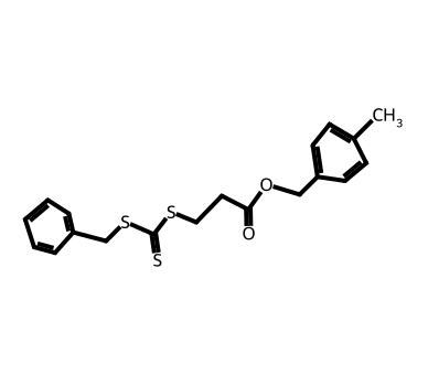 Cc1ccc(COC(=O)CCSC(=S)SCc2ccccc2)cc1